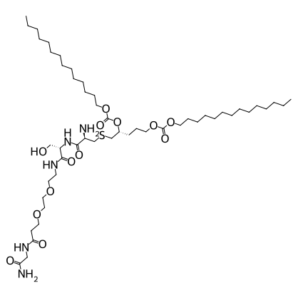 CCCCCCCCCCCCCCOC(=O)OCCC[C@H](CSC[C@H](N)C(=O)N[C@@H](CO)C(=O)NCCOCCOCCC(=O)NCC(N)=O)OC(=O)OCCCCCCCCCCCCCC